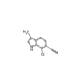 Cc1c[nH]c2c(Cl)c(C#N)ccc12